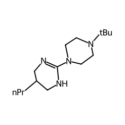 CCCC1CN=C(N2CCN(C(C)(C)C)CC2)NC1